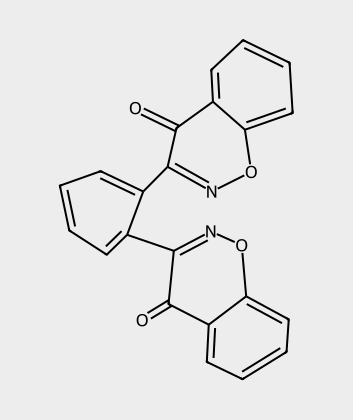 O=c1c(-c2ccccc2-c2noc3ccccc3c2=O)noc2ccccc12